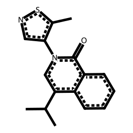 Cc1sncc1-n1cc(C(C)C)c2ccccc2c1=O